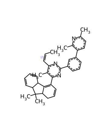 C/C=C\c1nc(-c2cccc(-c3ccc(C)nc3C)c2)nc(C2=C3C4C=CC=CC4C(C)(C)C3CC=C2)c1C